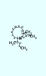 CCCC(C)C1CCCCCCCCC(C)(CCC)C=N1